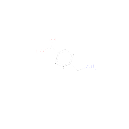 C[C@@H](N)c1ccc(B(O)O)cc1